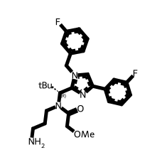 COCC(=O)N(CCCN)[C@@H](c1nc(-c2cccc(F)c2)cn1Cc1cccc(F)c1)C(C)(C)C